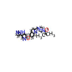 CC(C)C(=O)N1CCN(Cc2ccc3cc(Oc4ccc(-c5ccn[nH]5)cn4)ccc3n2)CC1